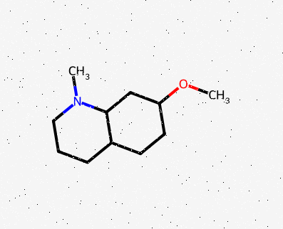 COC1CCC2CCCN(C)C2C1